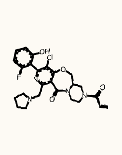 C=CC(=O)N1CCN2C(=O)c3c(CN4CCCC4)nc(-c4c(O)cccc4F)c(Cl)c3OCC2C1